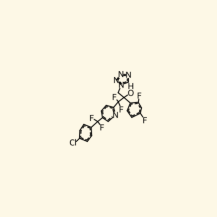 OC(Cn1cnnn1)(c1ccc(F)cc1F)C(F)(F)c1ccc(C(F)(F)c2ccc(Cl)cc2)cn1